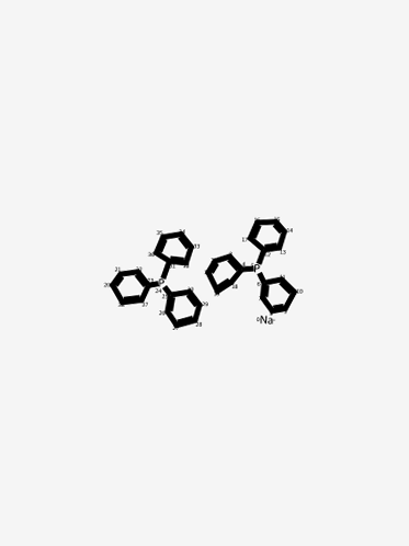 [Na].c1ccc(P(c2ccccc2)c2ccccc2)cc1.c1ccc(P(c2ccccc2)c2ccccc2)cc1